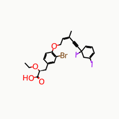 CCO[C@@H](Cc1ccc(OCC=C(C)C#CC2(I)C=CC=C(I)C2)c(Br)c1)C(=O)O